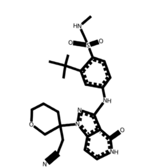 CNS(=O)(=O)c1ccc(Nc2nn(C3(CC#N)CCCOC3)c3cc[nH]c(=O)c23)cc1C(C)(C)C